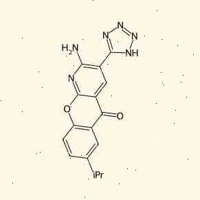 CC(C)c1ccc2oc3nc(N)c(-c4nnn[nH]4)cc3c(=O)c2c1